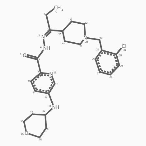 CCC(=NNC(=O)c1ccc(NC2CCOCC2)cn1)C1CCN(Cc2ccccc2Cl)CC1